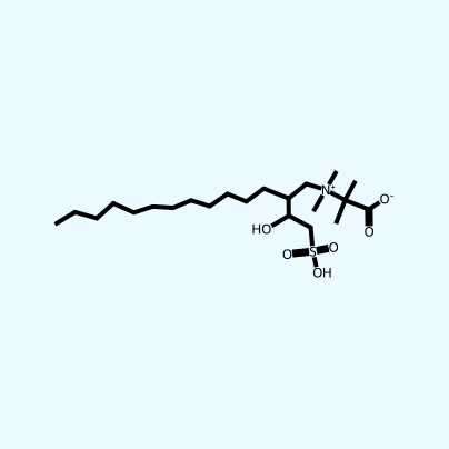 CCCCCCCCCCCCC(C[N+](C)(C)C(C)(C)C(=O)[O-])C(O)CS(=O)(=O)O